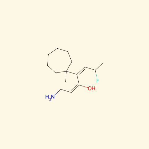 CC(F)/C=C(\C(O)=C/CN)C1(C)CCCCCC1